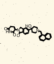 O=C1CCC(N2Cc3cc(C4(O)CCN(Cc5cccc6ccccc56)CC4)ccc3C2=O)C(=O)N1